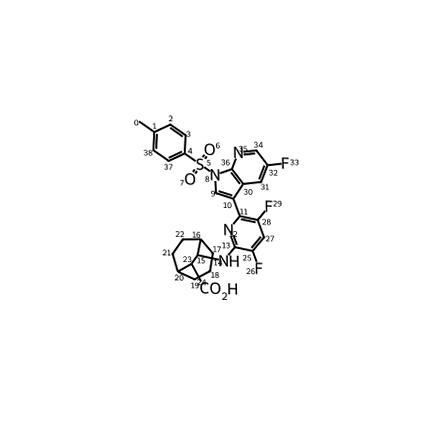 Cc1ccc(S(=O)(=O)n2cc(-c3nc(NC4C5CCCC(CC5)C4C(=O)O)c(F)cc3F)c3cc(F)cnc32)cc1